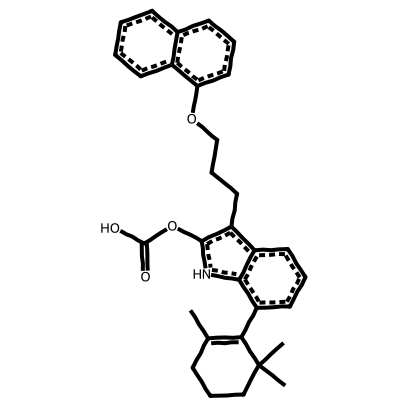 CC1=C(c2cccc3c(CCCOc4cccc5ccccc45)c(OC(=O)O)[nH]c23)C(C)(C)CCC1